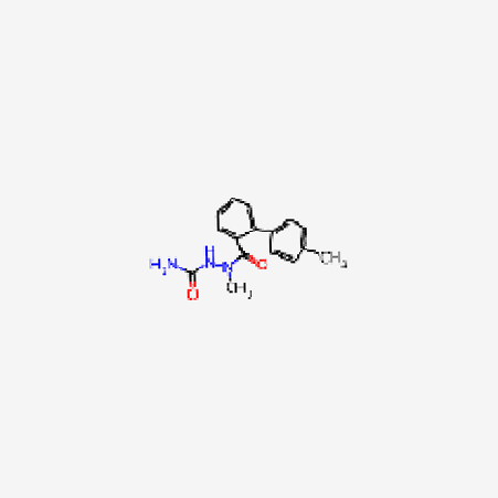 Cc1ccc(-c2ccccc2C(=O)N(C)NC(N)=O)cc1